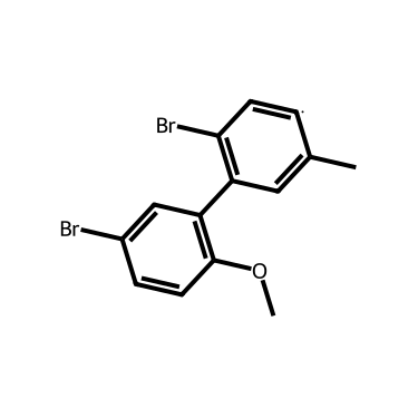 COc1ccc(Br)cc1-c1cc(C)[c]cc1Br